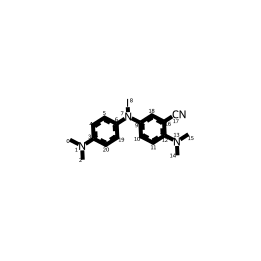 CN(C)c1ccc(N(I)c2ccc(N(C)C)c(C#N)c2)cc1